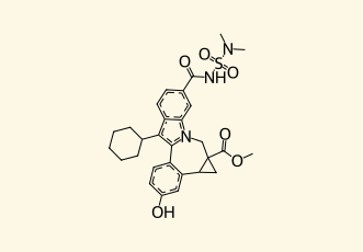 COC(=O)C12CC1c1cc(O)ccc1-c1c(C3CCCCC3)c3ccc(C(=O)NS(=O)(=O)N(C)C)cc3n1C2